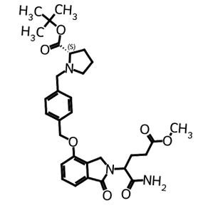 COC(=O)CCC(C(N)=O)N1Cc2c(OCc3ccc(CN4CCC[C@H]4C(=O)OC(C)(C)C)cc3)cccc2C1=O